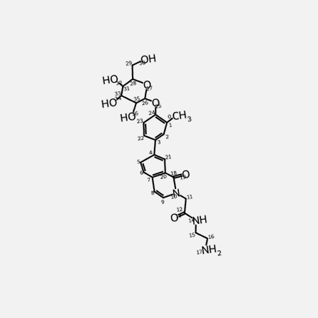 Cc1cc(-c2ccc3ccn(CC(=O)NCCN)c(=O)c3c2)ccc1OC1OC(CO)C(O)C(O)C1O